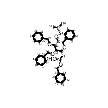 O=CN(C[C@@H](OCc1ccccc1)[C@@H](OCc1ccccc1)[C@@H](COSP(I)I)OCc1ccccc1)OCc1ccccc1